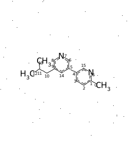 Cc1ccc(-c2cncc(CC(C)C)c2)cn1